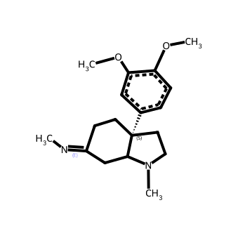 C/N=C1\CC[C@@]2(c3ccc(OC)c(OC)c3)CCN(C)C2C1